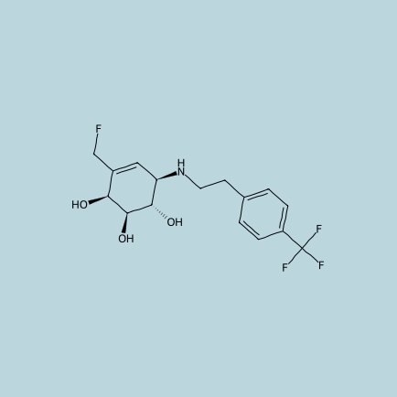 O[C@@H]1[C@@H](O)[C@@H](O)C(CF)=C[C@H]1NCCc1ccc(C(F)(F)F)cc1